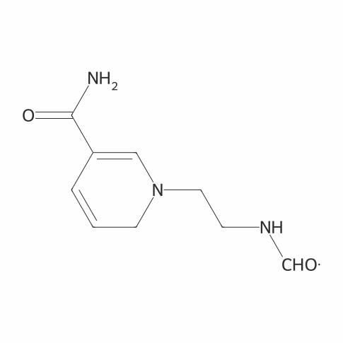 NC(=O)C1=CN(CCN[C]=O)CC=C1